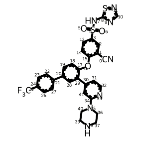 N#Cc1cc(S(=O)(=O)Nc2ncns2)ccc1Oc1ccc(-c2ccc(C(F)(F)F)cc2)cc1-c1ccnc(N2CCNCC2)c1